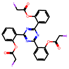 O=C(CI)Oc1ccccc1-c1nc(-c2ccccc2OC(=O)CI)nc(-c2ccccc2OC(=O)CI)n1